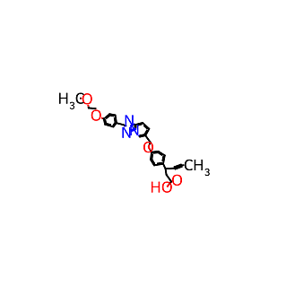 CC#CC(CC(=O)O)c1ccc(OCc2ccc3nc(-c4ccc(OCCOC)cc4)nn3c2)cc1